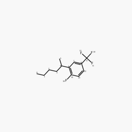 CCCCC(C)c1cc(C(F)(F)F)ccc1F